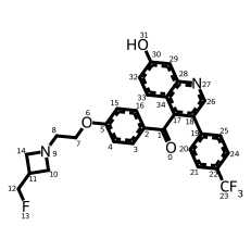 O=C(c1ccc(OCCN2CC(CF)C2)cc1)c1c(-c2ccc(C(F)(F)F)cc2)cnc2cc(O)ccc12